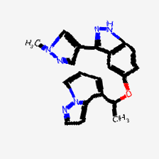 CC(Oc1ccc2[nH]nc(-c3cnn(C)c3)c2c1)c1cccn2nccc12